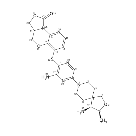 C[C@@H]1OCC2(CCN(c3cnc(Sc4ccnc5c4OCC4COC(=O)N54)c(N)n3)CC2)[C@@H]1N